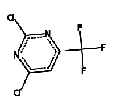 FC(F)(F)c1cc(Cl)nc(Cl)n1